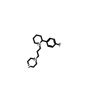 Fc1ccc(C2CCCCN2CCCN2CCSCC2)cc1